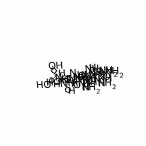 N=C(N)NC(NC(=O)C(NC(=N)N)NC(=O)C(NC(=N)N)NC(=O)C(NC(=N)N)NC(=O)C(NC(=O)C(O)N=C(c1ccc(O)cc1)c1ccc(O)cc1)c1ccccc1)C(=O)NC(N)C(N)=O